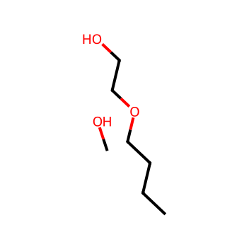 CCCCOCCO.CO